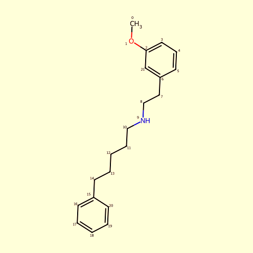 COc1cccc(CCNCCCCCc2ccccc2)c1